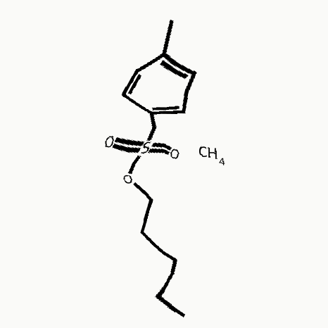 C.CCCCCOS(=O)(=O)c1ccc(C)cc1